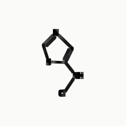 ClNc1cncs1